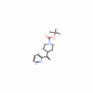 C=C(c1ccccn1)C1CCN(C(=O)OC(C)(C)C)CC1